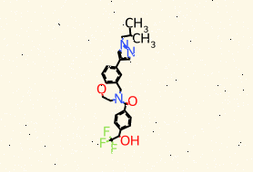 CC(C)Cn1cc(-c2ccc3c(c2)CN(C(=O)c2ccc(C(O)C(F)(F)F)cc2)CCO3)cn1